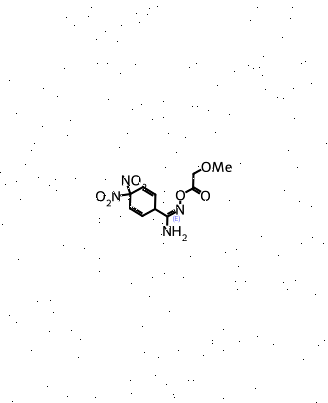 COCC(=O)O/N=C(/N)C1C=CC([N+](=O)[O-])([N+](=O)[O-])C=C1